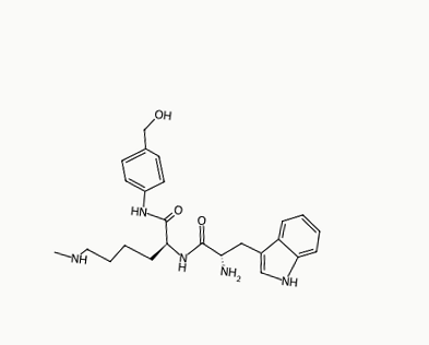 CNCCCC[C@H](NC(=O)[C@@H](N)Cc1c[nH]c2ccccc12)C(=O)Nc1ccc(CO)cc1